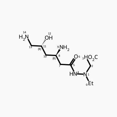 CCN(CC(=O)O)NC(=O)C[C@H](N)C[C@@H](O)CN